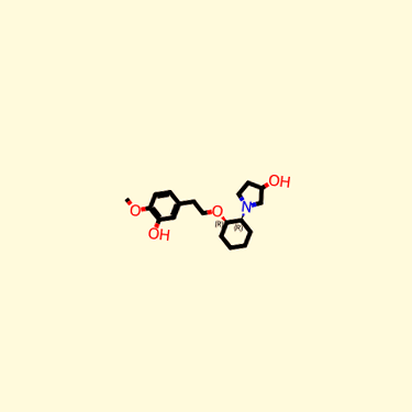 COc1ccc(CCO[C@@H]2CCCC[C@H]2N2CCC(O)C2)cc1O